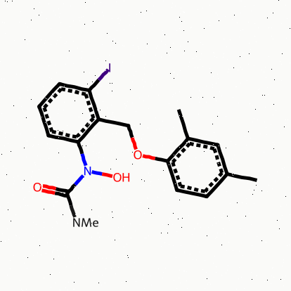 CNC(=O)N(O)c1cccc(I)c1COc1ccc(C)cc1C